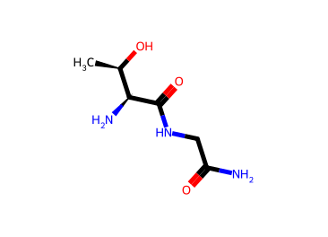 C[C@@H](O)[C@H](N)C(=O)NCC(N)=O